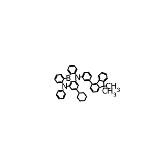 CC1(C)c2ccccc2-c2c(-c3cccc(N4c5ccccc5B5c6ccccc6N(c6ccccc6)c6cc(C7CCCCC7)cc4c65)c3)cccc21